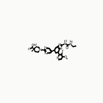 CCNC(=O)Nc1nc2cc(-c3cnc(N4CCC(C)(C(=O)O)CC4)nc3)cc(-c3nccc(OC)c3F)c2s1